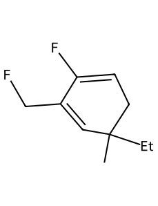 CCC1(C)C=C(CF)C(F)=CC1